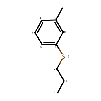 CCCSc1cccc(C)c1